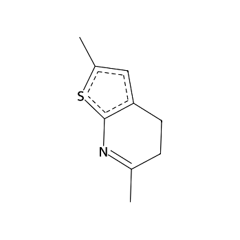 CC1=Nc2sc(C)cc2CC1